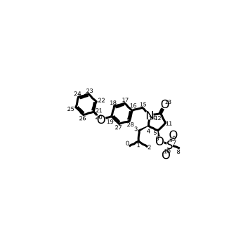 CC(C)C[C@@H]1[C@H](OS(C)(=O)=O)CC(=O)N1Cc1ccc(Oc2ccccc2)cc1